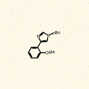 [CH2]CCCn1cnc(-c2ccccc2OC)c1